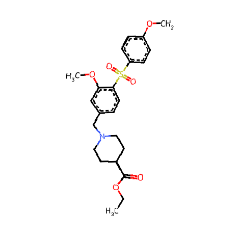 CCOC(=O)C1CCN(Cc2ccc(S(=O)(=O)c3ccc(OC)cc3)c(OC)c2)CC1